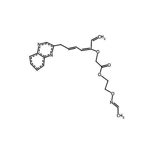 C=C/C(=C\C=C\Cc1cnc2ccccc2n1)OCC(=O)OCCON=CC